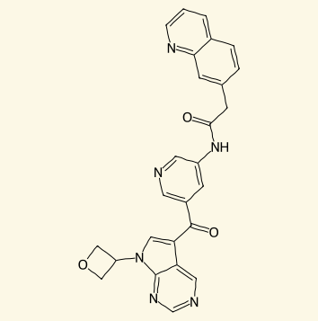 O=C(Cc1ccc2cccnc2c1)Nc1cncc(C(=O)c2cn(C3COC3)c3ncncc23)c1